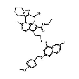 CCOC(=O)c1c(CCCOc2cc(SCc3ccc(OC)cc3)cc3ccc(Cl)cc23)c2ccc(Cl)c(-c3c(CO)nn4c3COCC4)c2n1C